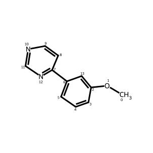 COc1cccc(-c2ccncn2)c1